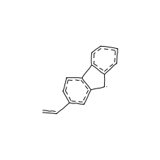 C=Cc1ccc2c(c1)[CH]c1ccccc1-2